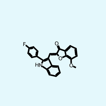 COc1cccc2c1O/C(=C\c1c(-c3ccc(F)cc3)[nH]c3ccccc13)C2=O